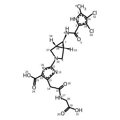 Cc1[nH]c(C(=O)N[C@H]2[C@@H]3CN(c4nc(CC(=O)NCC(=O)O)c(C(=O)O)s4)C[C@@H]32)c(Cl)c1Cl